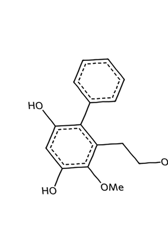 COCCc1c(OC)c(O)cc(O)c1-c1ccccc1